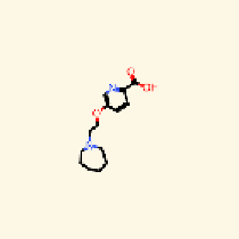 O=C(O)c1ccc(OCCN2CCCCCC2)cn1